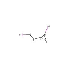 ICCC1CC1I